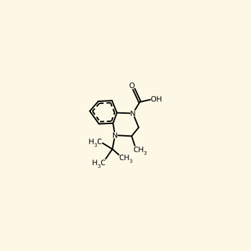 CC1CN(C(=O)O)c2ccccc2N1C(C)(C)C